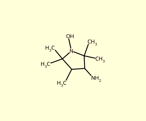 CC1C(N)C(C)(C)N(O)C1(C)C